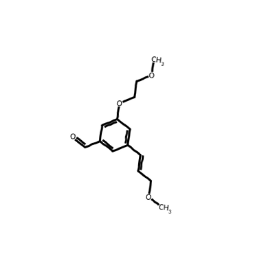 COCC=Cc1cc(C=O)cc(OCCOC)c1